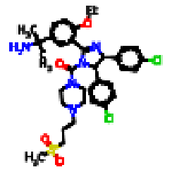 CCOc1ccc(C(C)(C)N)cc1C1=N[C@@H](c2ccc(Cl)cc2)[C@@H](c2ccc(Cl)cc2)N1C(=O)N1CCN(CCCS(C)(=O)=O)CC1